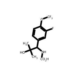 CC(C)(O)C(NC(=O)O)c1ccc(OC(F)(F)F)c(F)c1